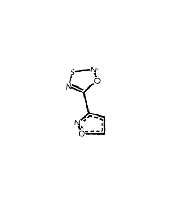 c1cc(C2=NS[N]O2)no1